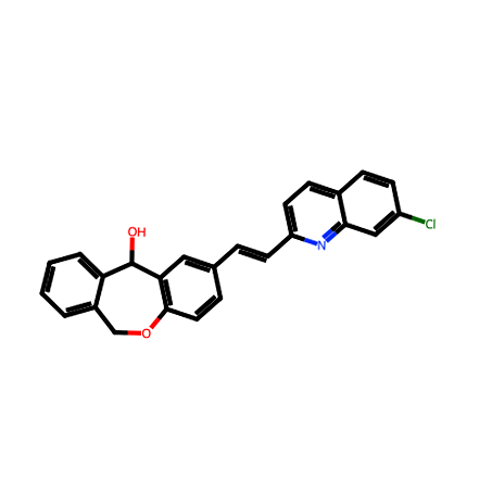 OC1c2ccccc2COc2ccc(C=Cc3ccc4ccc(Cl)cc4n3)cc21